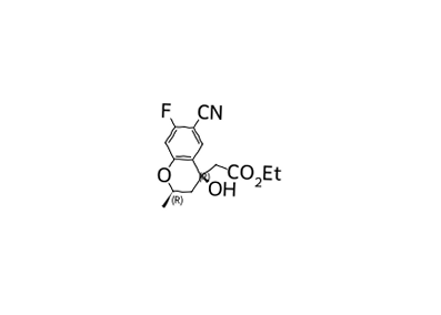 CCOC(=O)C[C@]1(O)C[C@@H](C)Oc2cc(F)c(C#N)cc21